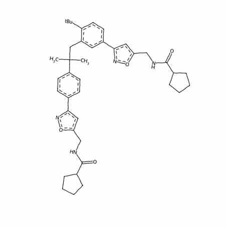 CC(C)(C)c1ccc(-c2cc(CNC(=O)C3CCCC3)on2)cc1CC(C)(C)c1ccc(-c2cc(CNC(=O)C3CCCC3)on2)cc1